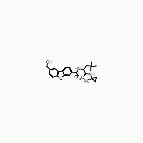 CC(C)(F)CC(NC(c1ccc2c(c1)oc1ccc(CO)cc12)C(F)(F)F)C(=O)NC1(C#N)CC1